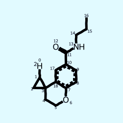 [2H]C1CC12CCOc1ccc(C(=O)NCCC)cc12